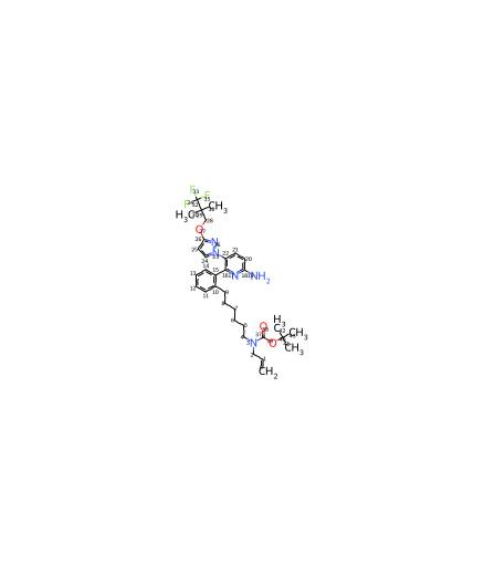 C=CCN(CCCCCCc1ccccc1-c1nc(N)ccc1-n1ccc(OCC(C)(C)C(F)(F)F)n1)C(=O)OC(C)(C)C